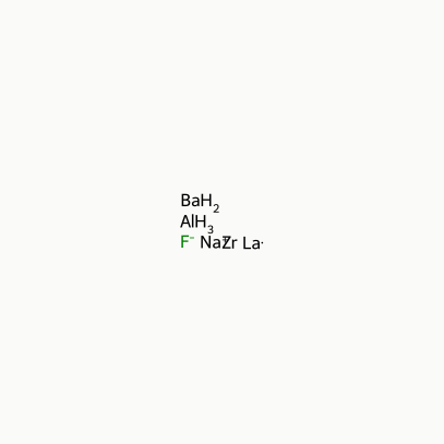 [AlH3].[BaH2].[F-].[La].[Na+].[Zr]